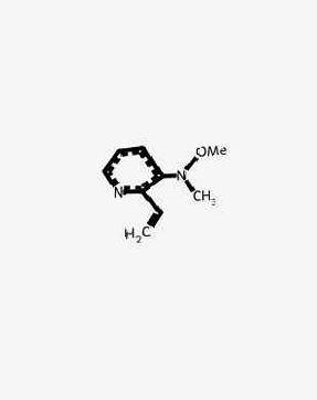 C=Cc1ncccc1N(C)OC